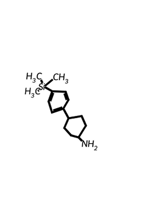 C[Si](C)(C)c1ccc(C2CCC(N)CC2)cc1